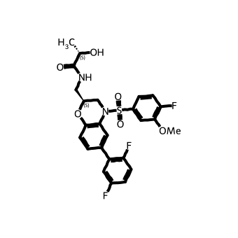 COc1cc(S(=O)(=O)N2C[C@H](CNC(=O)[C@H](C)O)Oc3ccc(-c4cc(F)ccc4F)cc32)ccc1F